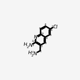 NCc1cc2cc(Cl)ccc2nc1N